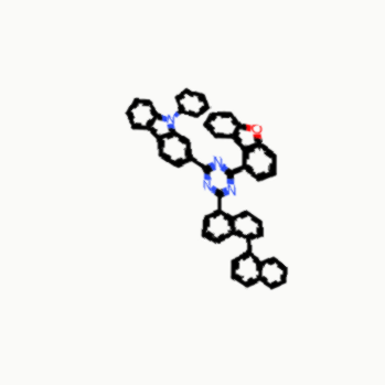 c1ccc(-n2c3ccccc3c3ccc(-c4nc(-c5cccc6c(-c7cccc8ccccc78)cccc56)nc(-c5cccc6oc7ccccc7c56)n4)cc32)cc1